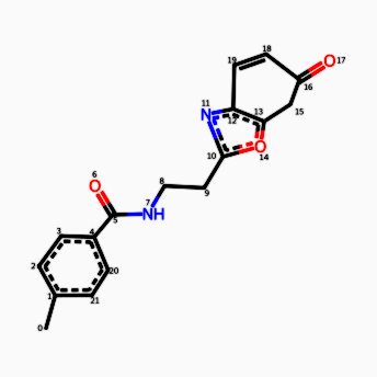 Cc1ccc(C(=O)NCCc2nc3c(o2)CC(=O)C=C3)cc1